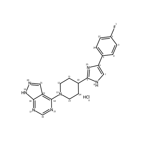 Cl.Fc1ccc(-c2c[nH]c(C3CCN(c4ncnc5[nH]ncc45)CC3)n2)cc1